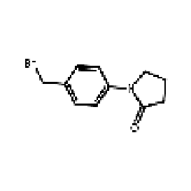 O=C1CCCN1c1ccc(CBr)cc1